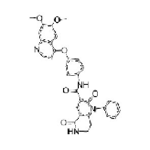 COc1cc2nccc(Oc3ccc(NC(=O)c4cc5c(n(-c6ccccc6)c4=O)CCNC5=O)cc3)c2cc1OC